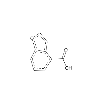 O=C(O)c1cccc2o[c]cc12